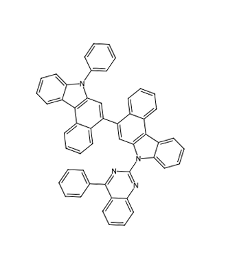 c1ccc(-c2nc(-n3c4ccccc4c4c5ccccc5c(-c5cc6c(c7ccccc57)c5ccccc5n6-c5ccccc5)cc43)nc3ccccc23)cc1